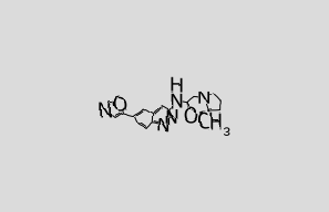 C[C@@H]1CCCN1CC(=O)Nc1cc2cc(-c3cnco3)ccc2nn1